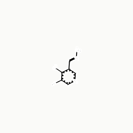 O/N=C/c1cncc(F)c1Cl